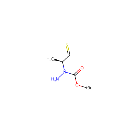 C[C@@H](C=S)N(N)C(=O)OC(C)(C)C